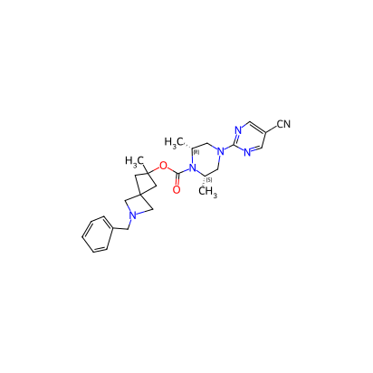 C[C@@H]1CN(c2ncc(C#N)cn2)C[C@H](C)N1C(=O)OC1(C)CC2(CN(Cc3ccccc3)C2)C1